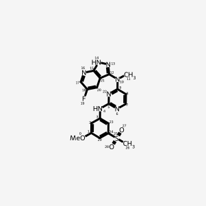 COc1cc(Nc2nccc(N(C)c3n[nH]c4ncc(F)cc34)n2)cc(S(C)(=O)=O)c1